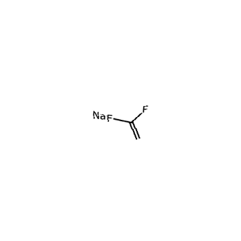 C=C(F)F.[Na]